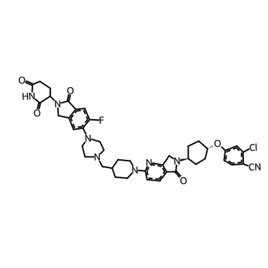 N#Cc1ccc(O[C@H]2CC[C@H](N3Cc4nc(N5CCC(CN6CCN(c7cc8c(cc7F)C(=O)N(C7CCC(=O)NC7=O)C8)CC6)CC5)ccc4C3=O)CC2)cc1Cl